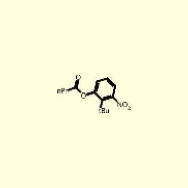 CCCC(=O)Oc1cccc([N+](=O)[O-])c1C(C)(C)C